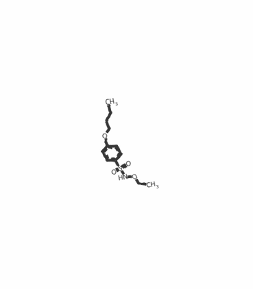 CCCCOc1ccc(S(=O)(=O)NOCC)cc1